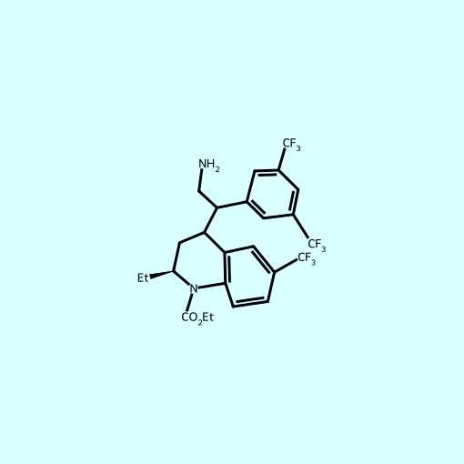 CCOC(=O)N1c2ccc(C(F)(F)F)cc2C(C(CN)c2cc(C(F)(F)F)cc(C(F)(F)F)c2)C[C@@H]1CC